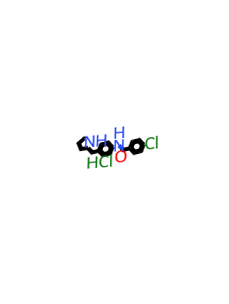 Cl.O=C(Nc1ccc(CC2CCCN2)cc1)c1ccc(Cl)cc1